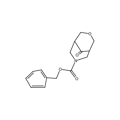 O=C1C2COCC1CN(C(=O)OCc1ccccc1)C2